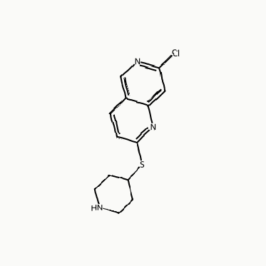 Clc1cc2nc(SC3CCNCC3)ccc2cn1